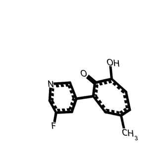 Cc1ccc(O)c(=O)c(-c2cncc(F)c2)c1